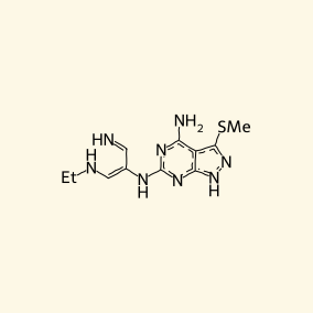 CCN/C=C(\C=N)Nc1nc(N)c2c(SC)n[nH]c2n1